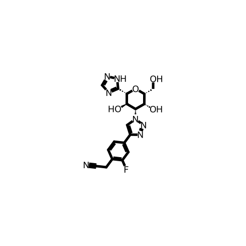 N#CCc1ccc(-c2cn([C@H]3[C@@H](O)[C@@H](CO)O[C@@H](c4ncn[nH]4)[C@@H]3O)nn2)cc1F